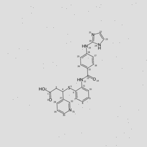 O=C(O)CC(Sc1ccccc1NC(=O)c1ccc(Nc2ncc[nH]2)cc1)c1cccnc1